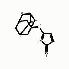 O=C1C=CC(OC23CC4CC(CC(C4)C2)C3)=N1